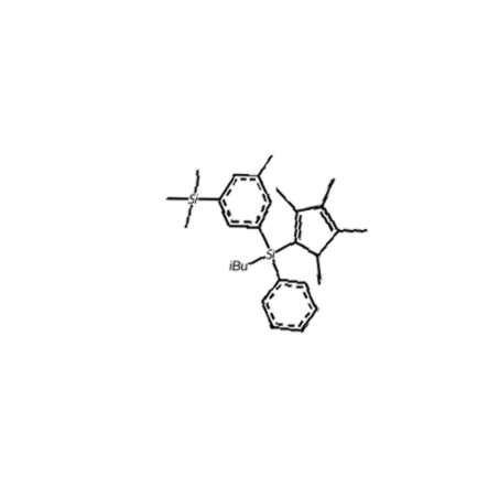 CCC(C)[Si](C1=C(C)C(C)=C(C)C1C)(c1ccccc1)c1cc(C)cc([Si](C)(C)C)c1